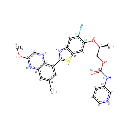 COc1cnc2c(-c3nc4cc(F)c(O[C@@H](C)COC(=O)Nc5cccnc5)cc4s3)cc(C)cc2n1